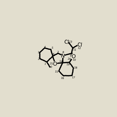 CC1CCCCC12CN(C(=O)C(Cl)Cl)C1(CCCCC1C)O2